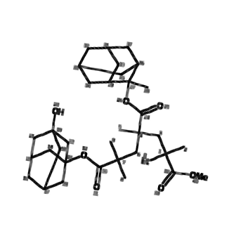 CCC(C)(CC(C)(CC(C)(C)C(=O)OC12CC3CC(CC(O)(C3)C1)C2)C(=O)OC1(C)C2CC3CC(C2)CC1C3)C(=O)OC